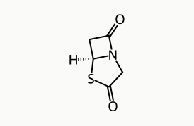 O=C1CN2C(=O)C[C@@H]2S1